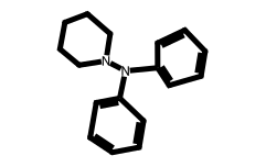 c1ccc(N(c2ccccc2)N2CCCCC2)cc1